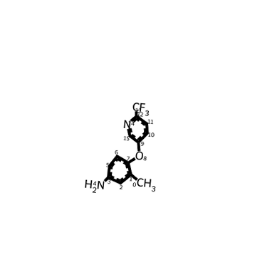 Cc1cc(N)ccc1Oc1ccc(C(F)(F)F)nc1